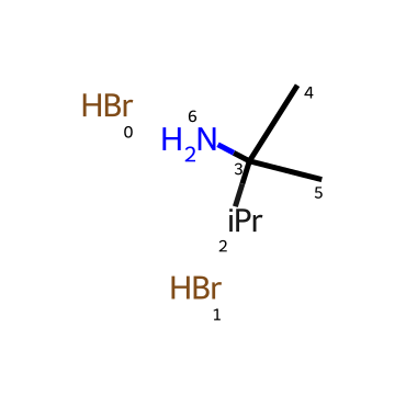 Br.Br.CC(C)C(C)(C)N